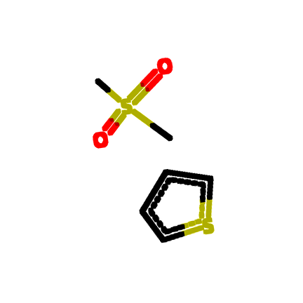 CS(C)(=O)=O.c1ccsc1